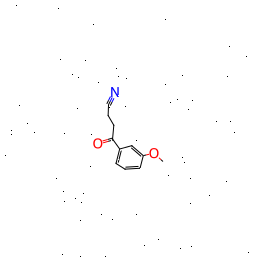 COc1cccc(C(=O)CCC#N)c1